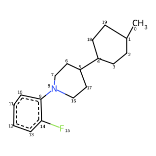 CC1CC[C](C2CCN(c3ccccc3F)CC2)CC1